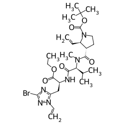 C=C[C@@H]1[C@@H](C(=O)N(C)[C@H](C(=O)N[C@@H](Cc2nc(Br)nn2C=C)C(=O)OCC)C(C)C)CCN1C(=O)OC(C)(C)C